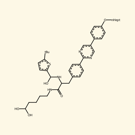 CCCCCCCOc1ccc(-c2cnc(-c3ccc(CC(NC(O)c4ccc(C(C)(C)C)s4)C(=O)NCCCCC(O)O)cc3)nc2)cc1